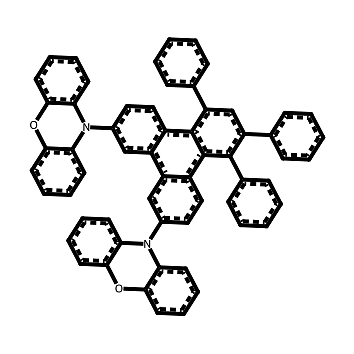 c1ccc(-c2cc(-c3ccccc3)c3c4ccc(N5c6ccccc6Oc6ccccc65)cc4c4cc(N5c6ccccc6Oc6ccccc65)ccc4c3c2-c2ccccc2)cc1